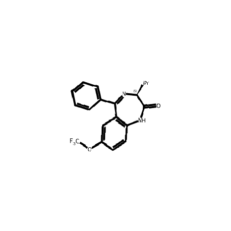 CC(C)[C@@H]1N=C(c2ccccc2)c2cc(OC(F)(F)F)ccc2NC1=O